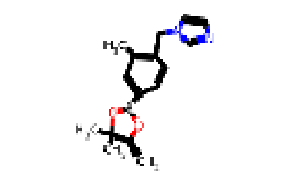 C=C1OB(c2ccc(Cn3ccnc3)c(C)c2)OC1(C)C